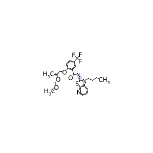 CCCCn1/c(=N/C(=O)c2cc(C(F)(F)F)ccc2OC[C@H](C)OCOC)sc2ncccc21